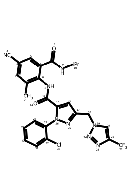 Cc1cc(C#N)cc(C(=O)NC(C)C)c1NC(=O)c1cc(Cn2cc(C(F)(F)F)nn2)nn1-c1ccccc1Cl